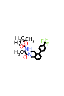 C[C@@H](NC(=O)OC(C)(C)C)C(=O)N1CCc2c(cccc2-c2ccc(C(F)(F)F)cc2)C1